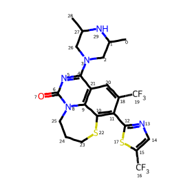 CC1CN(c2nc(=O)n3c4c(c(-c5ncc(C(F)(F)F)s5)c(C(F)(F)F)cc24)SCCC3)CC(C)N1